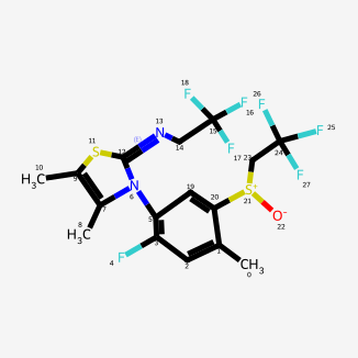 Cc1cc(F)c(-n2c(C)c(C)s/c2=N/CC(F)(F)F)cc1[S+]([O-])CC(F)(F)F